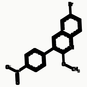 COc1nc2ccc(Br)cc2cc1-c1ccc([N+](=O)[O-])cc1